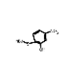 CCCCSc1ccc([N+](=O)[O-])cc1O